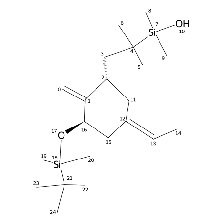 C=C1[C@H](CC(C)(C)[Si](C)(C)O)C/C(=C\C)C[C@H]1O[Si](C)(C)C(C)(C)C